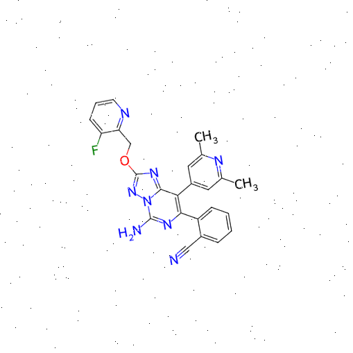 Cc1cc(-c2c(-c3ccccc3C#N)nc(N)n3nc(OCc4ncccc4F)nc23)cc(C)n1